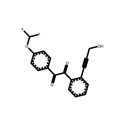 O=C(C(=O)c1ccccc1C#CCO)c1ccc(OC(F)F)cc1